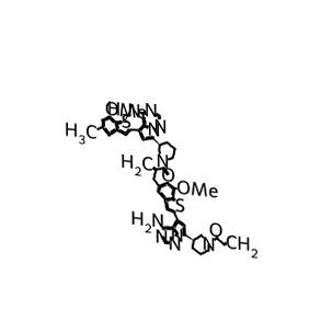 C=CC(=O)N1CCC[C@@H](c2cc(-c3cc4cc(CC(=C)C(=O)N5CCC[C@H](c6cc(-c7cc8cc(C)cc(OC)c8s7)c7c(N)ncnn67)C5)cc(OC)c4s3)c3c(N)ncnn23)C1